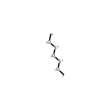 COSOSOC